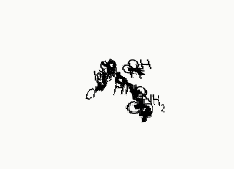 COc1cccc2c1c(NS(=O)(=O)c1ccc(Cl)s1)nn2Cc1cccc(CNC(=O)C[C@H](N)C(=O)OC(C)(C)C)c1.O=C(O)C(F)(F)F